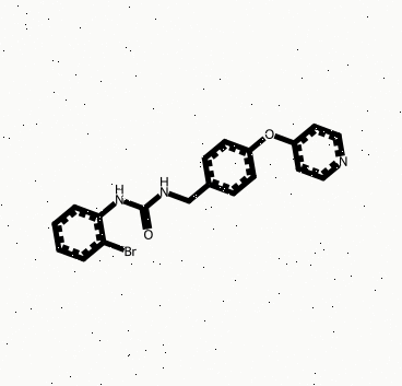 O=C(NCc1ccc(Oc2ccncc2)cc1)Nc1ccccc1Br